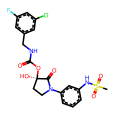 CS(=O)(=O)Nc1cccc(N2CC[C@@](O)(OC(=O)NCc3cc(F)cc(Cl)c3)C2=O)c1